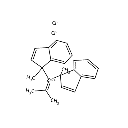 C[C](C)=[Zr+2]([C]1(C)C=Cc2ccccc21)[C]1(C)C=Cc2ccccc21.[Cl-].[Cl-]